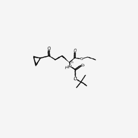 CCOC(=O)[C@H](CCC(=O)C1CC1)NC(=O)OC(C)(C)C